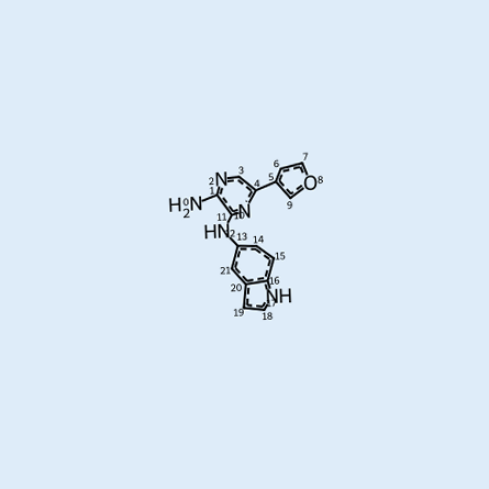 Nc1ncc(-c2ccoc2)nc1Nc1ccc2[nH]ccc2c1